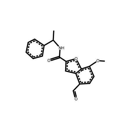 COc1ccc(C=O)c2cc(C(=O)NC(C)c3ccccc3)oc12